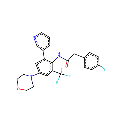 O=C(Cc1ccc(F)cc1)Nc1c(-c2cccnc2)cc(N2CCOCC2)cc1C(F)(F)F